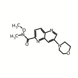 CON(C)C(=O)c1ccc2ncc(N3CCOCC3)cc2n1